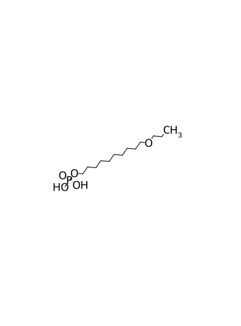 CCCOCCCCCCCCCCOP(=O)(O)O